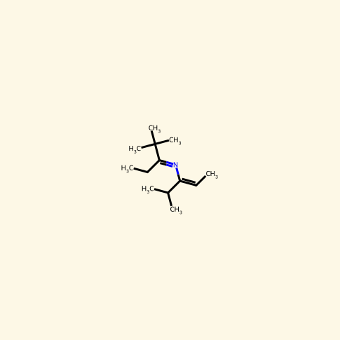 C/C=C(\N=C(/CC)C(C)(C)C)C(C)C